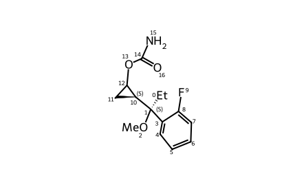 CC[C@@](OC)(c1ccccc1F)[C@H]1CC1OC(N)=O